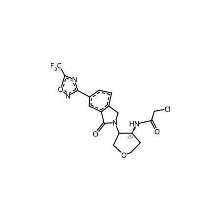 O=C(CCl)N[C@H]1CCOCC1N1Cc2ccc(-c3noc(C(F)(F)F)n3)cc2C1=O